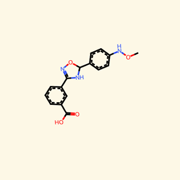 CONc1ccc(C2NC(c3cccc(C(=O)O)c3)=NO2)cc1